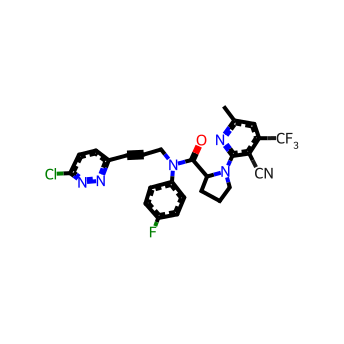 Cc1cc(C(F)(F)F)c(C#N)c(N2CCCC2C(=O)N(CC#Cc2ccc(Cl)nn2)c2ccc(F)cc2)n1